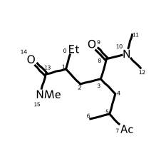 CCC(CC(CC(C)C(C)=O)C(=O)N(C)C)C(=O)NC